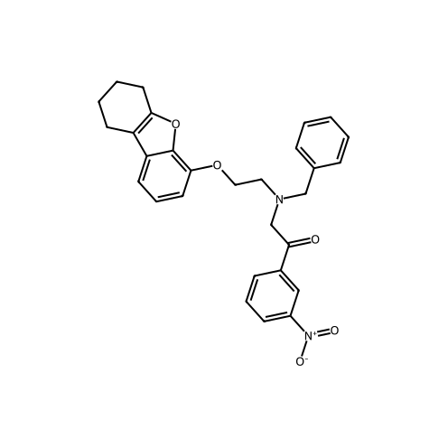 O=C(CN(CCOc1cccc2c3c(oc12)CCCC3)Cc1ccccc1)c1cccc([N+](=O)[O-])c1